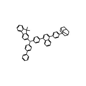 CC1(C)c2ccccc2-c2ccc(N(c3ccc(-c4ccccc4)cc3)c3ccc(-c4ccc(-c5ccc(C67CC8CC(CC(C8)C6)C7)cc5)c5ccccc45)cc3)cc21